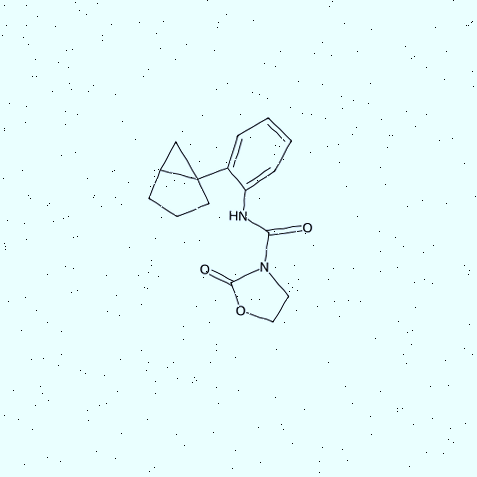 O=C(Nc1ccccc1C12CCCC1C2)N1CCOC1=O